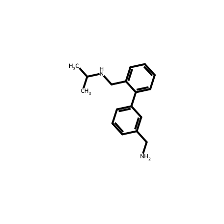 CC(C)NCc1ccccc1-c1cccc(CN)c1